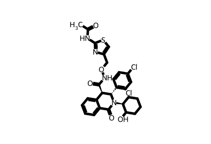 CC(=O)Nc1nc(CONC(=O)[C@@H]2c3ccccc3C(=O)N([C@H]3CCCCC3O)[C@H]2c2ccc(Cl)cc2Cl)cs1